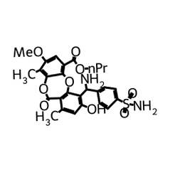 CCCOC(=O)c1cc(OC)c(C)c2c1Oc1c(c(C)cc(O)c1C(N)c1ccc(S(N)(=O)=O)cc1)C(=O)O2